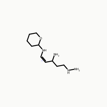 NNCCC(N)/C=C\NC1CCCCO1